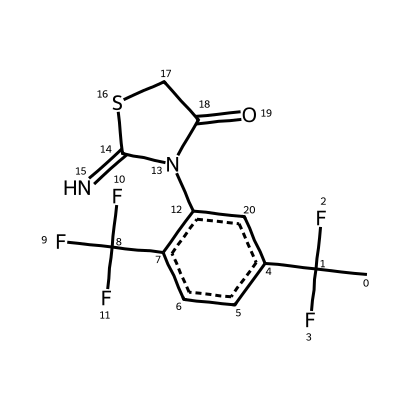 CC(F)(F)c1ccc(C(F)(F)F)c(N2C(=N)SCC2=O)c1